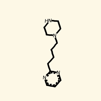 c1cnc(CCCCN2CCNCC2)nc1